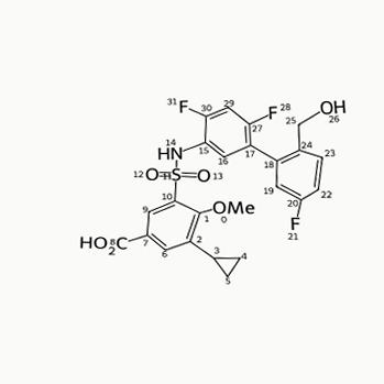 COc1c(C2CC2)cc(C(=O)O)cc1S(=O)(=O)Nc1cc(-c2cc(F)ccc2CO)c(F)cc1F